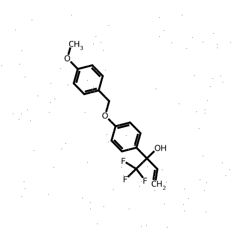 C=CC(O)(c1ccc(OCc2ccc(OC)cc2)cc1)C(F)(F)F